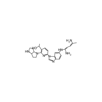 C/C(N)=C/C=C(\N)Nc1ccc2ncn(-c3ccc(C(C)O)c(N4CCC5NCCC54)n3)c2c1